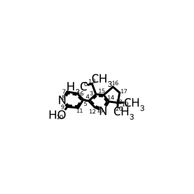 CC(C)c1c(-c2ccnc(O)c2)cnc2c1CCC2(C)C